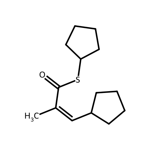 CC(=CC1CCCC1)C(=O)SC1CCCC1